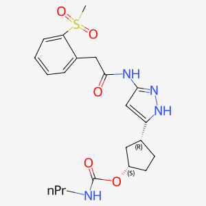 CCCNC(=O)O[C@H]1CC[C@@H](c2cc(NC(=O)Cc3ccccc3S(C)(=O)=O)n[nH]2)C1